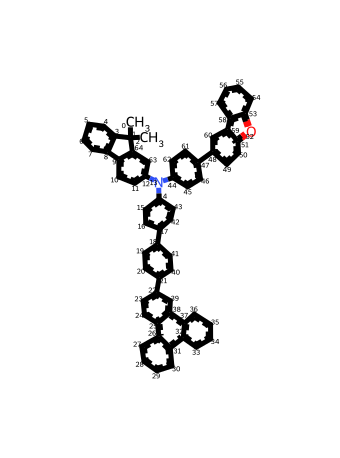 CC1(C)c2ccccc2-c2ccc(N(c3ccc(-c4ccc(-c5ccc6c7ccccc7c7ccccc7c6c5)cc4)cc3)c3ccc(-c4ccc5oc6ccccc6c5c4)cc3)cc21